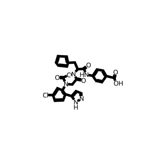 O=C(O)c1ccc(NC(=O)C(Cc2ccccc2)N2CC(=O)N(c3cc(Cl)ccc3-c3ccn[nH]3)CC2=O)cc1